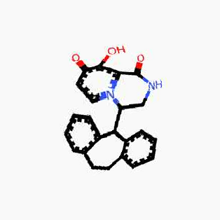 O=C1NCC(C2c3ccccc3CCc3ccccc32)n2ccc(=O)c(O)c21